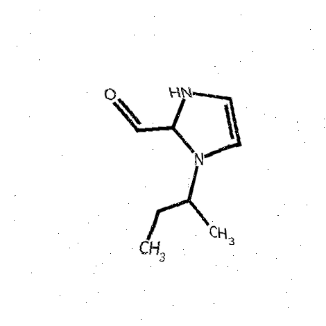 CCC(C)N1C=CNC1C=O